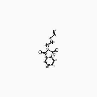 C=CCN=NC1C(=O)c2ccccc2C1=O